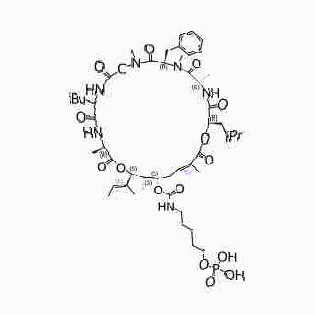 C/C=C(\C)[C@H]1OC(=O)[C@@H](C)NC(=O)C(C(C)CC)NC(=O)CN(C)C(=O)[C@@H](Cc2ccccc2)N(C)C(=O)[C@H](C)NC(=O)[C@@H](CC(C)C)OC(=O)/C(C)=C/C[C@H](OC(=O)NCCCCCOP(=O)(O)O)[C@@H]1C